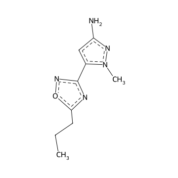 CCCc1nc(-c2cc(N)nn2C)no1